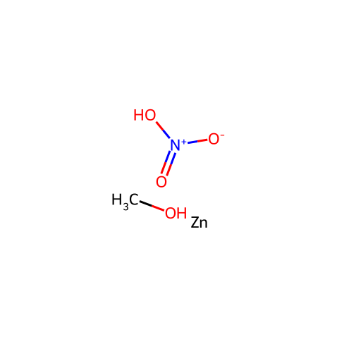 CO.O=[N+]([O-])O.[Zn]